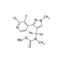 [2H]C([2H])(c1cn(C)nc1-c1ccnc(Cl)c1F)N(C)C(=O)OC(C)(C)C